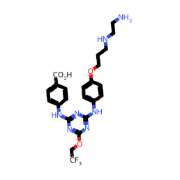 NCCNCCCOc1ccc(Nc2nc(Nc3ccc(C(=O)O)cc3)nc(OCC(F)(F)F)n2)cc1